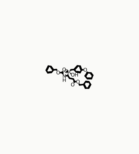 O=C(CCC(NC(=O)OCc1ccccc1)P(=O)(O)Cc1ccc(Oc2ccccc2)cc1)OCc1ccccc1